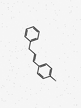 Cc1ccc(/C=C/[CH]c2ccccc2)cc1